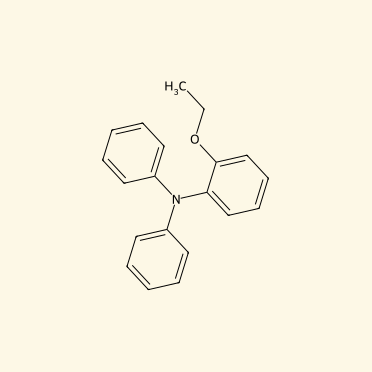 CCOc1ccccc1N(c1ccccc1)c1ccccc1